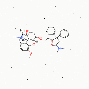 CCC(=O)C(CC(C)N(C)C)(c1ccccc1)c1ccccc1.COc1ccc2c3c1O[C@H]1C(=O)CC[C@@]4(O)[C@@H](C2)N(C)CC[C@]314